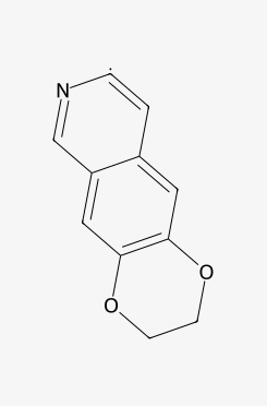 [c]1cc2cc3c(cc2cn1)OCCO3